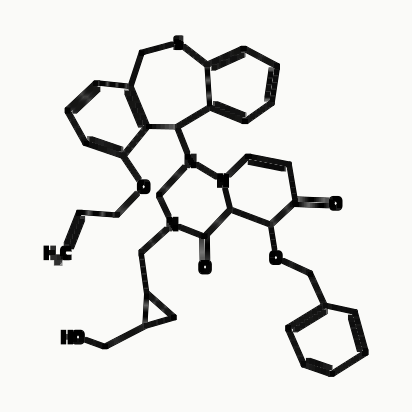 C=CCOc1cccc2c1C(N1CN(CC3CC3CO)C(=O)C3C(OCc4ccccc4)C(=O)C=CN31)c1ccccc1SC2